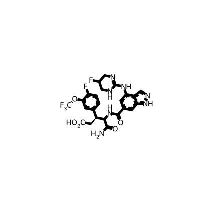 NC(=O)C(NC(=O)c1cc(NC2=NCC(F)CN2)c2cn[nH]c2c1)[C@@H](CC(=O)O)c1ccc(F)c(OC(F)(F)F)c1